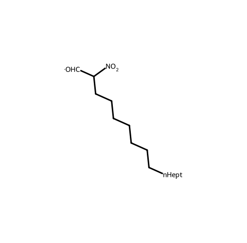 CCCCCCCCCCCCCCC([C]=O)[N+](=O)[O-]